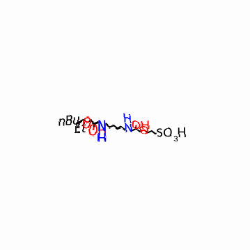 CCCCC(CC)COCC(O)CNCCCCCCNCC(O)COCCCS(=O)(=O)O